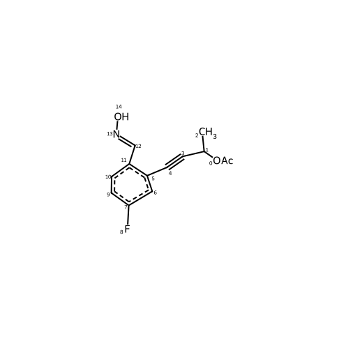 CC(=O)OC(C)C#Cc1cc(F)ccc1/C=N/O